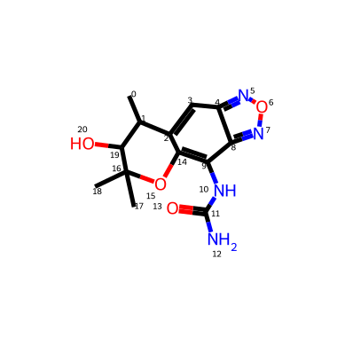 CC1c2cc3nonc3c(NC(N)=O)c2OC(C)(C)C1O